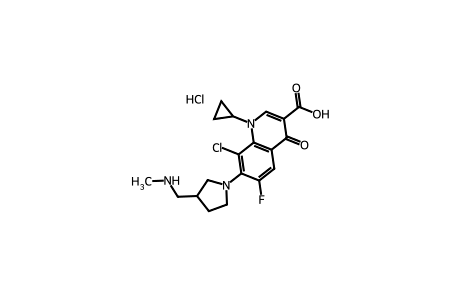 CNCC1CCN(c2c(F)cc3c(=O)c(C(=O)O)cn(C4CC4)c3c2Cl)C1.Cl